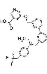 CCN(Cc1cccc(-c2cccc(COc3cncc(C(=O)O)c3)n2)c1)c1ccc(CC(F)(F)F)cc1